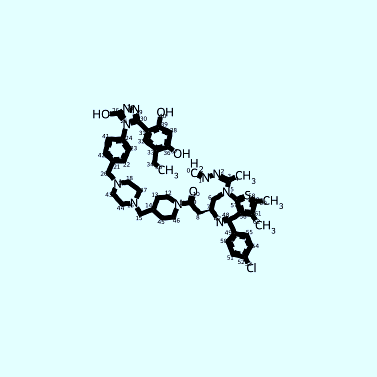 C=N/N=C(/C)N1C[C@H](CC(=O)N2CCC(CN3CCN(Cc4ccc(-n5c(O)nnc5-c5cc(CC)c(O)cc5O)cc4)CC3)CC2)N=C(c2ccc(Cl)cc2)c2c1sc(C)c2C